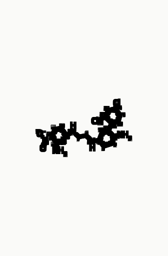 Nc1ccc(NCCNc2ccc([N+](=O)[O-])c(N)n2)cc1-c1ccc(Cl)cc1Cl